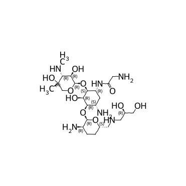 CN[C@@H]1[C@@H](O)[C@@H](O[C@@H]2[C@H](O)[C@H](O[C@H]3O[C@H](CNC[C@@H](O)CO)CC[C@H]3N)[C@@H](N)C[C@H]2NC(=O)CN)OC[C@]1(C)O